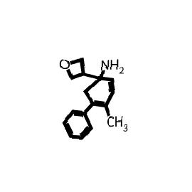 CC1=C(c2ccccc2)CC(N)(C2COC2)C=C1